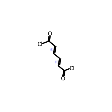 O=C(Cl)/C=C/C=C/C(=O)Cl